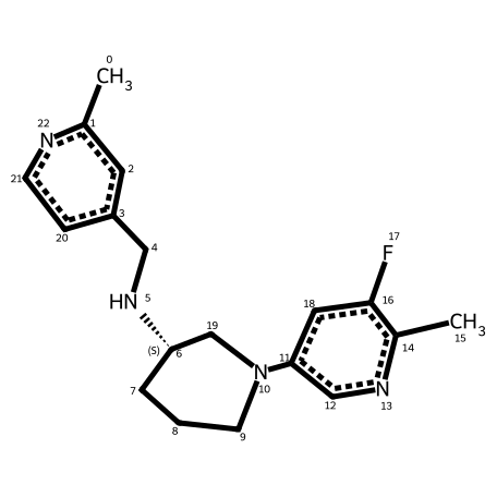 Cc1cc(CN[C@H]2CCCN(c3cnc(C)c(F)c3)C2)ccn1